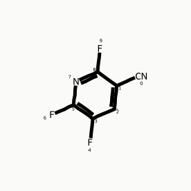 N#Cc1[c]c(F)c(F)nc1F